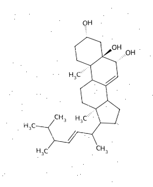 CC(C)C(C)/C=C/C(C)C1CCC2C3=C[C@@H](O)[C@@]4(O)C[C@@H](O)CC[C@]4(C)C3CC[C@@]21C